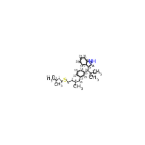 CC(C)CCSCCC(C)Cc1cccc(C(c2c[nH]c3ccccc23)C(C)C)c1